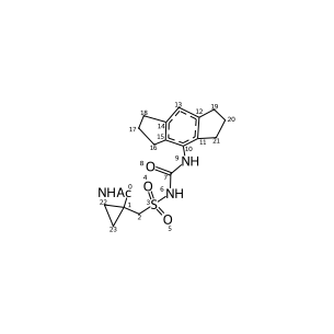 CC(=O)NC1(CS(=O)(=O)NC(=O)Nc2c3c(cc4c2CCC4)CCC3)CC1